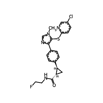 Cn1cnc(-c2ccc([C@H]3C[C@@H]3C(=O)NCCF)cc2)c1Sc1ccc(Cl)cn1